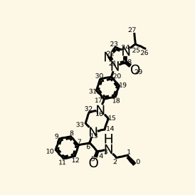 C=CCNC(=O)C(c1ccccc1)N1CCN(c2ccc(-n3ncn(C(C)C)c3=O)cc2)CC1